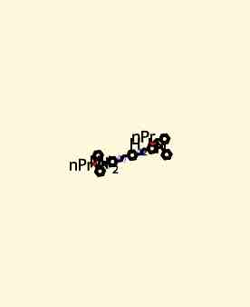 CCCC(N)c1ccccc1N(c1ccccc1)c1ccc(/C=C/c2ccc(/C=C/c3ccc(N(c4ccccc4)c4ccccc4C(N)CCC)cc3)cc2)cc1